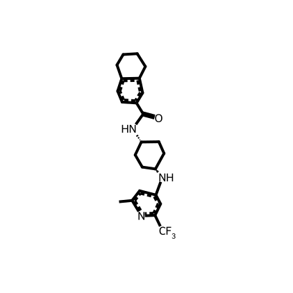 Cc1cc(N[C@H]2CC[C@@H](NC(=O)c3ccc4c(c3)CCCC4)CC2)cc(C(F)(F)F)n1